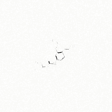 CCOc1ccc(NC(=O)OC(C)C)cc1COC